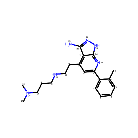 Cc1ccccc1-c1cc(CCNCCCN(C)C)c2c(N)n[nH]c2n1